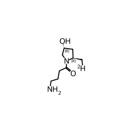 [2H]C[C@@H]1C[C@@H](O)CN1C(=O)CCCN